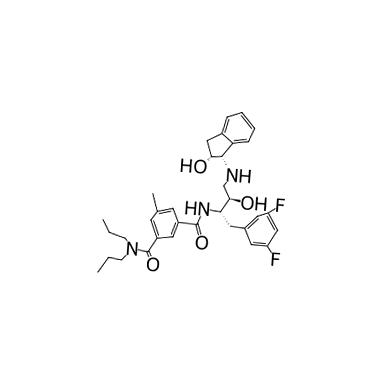 CCCN(CCC)C(=O)c1cc(C)cc(C(=O)N[C@@H](Cc2cc(F)cc(F)c2)[C@H](O)CN[C@H]2c3ccccc3C[C@H]2O)c1